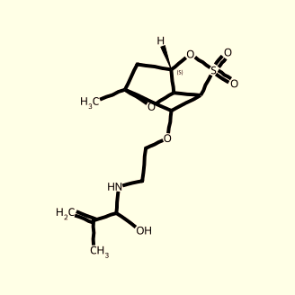 C=C(C)C(O)NCCOC1C2C3OC1(C)C[C@@H]3OS2(=O)=O